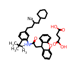 CC(C)(C)c1ccc(CC[CH]([Na])CC2CCCCC2)cc1NC(=O)CC1c2ccccc2Oc2ccccc21.O=C(O)CCC(=O)O